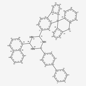 c1ccc(-c2ccc(C3NC(c4ccc5c(c4)C4(c6ccccc6Oc6ccccc64)c4ccccc4-5)NC(c4cccc5ccccc45)N3)cc2)cc1